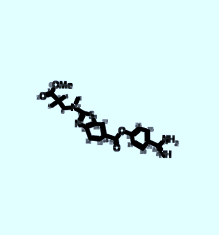 COC(=O)C(C)(C)CN(C)c1nc2ccc(C(=O)Oc3ccc(C(=N)N)cc3)cc2s1